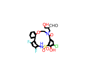 O=CC(CO)CN1CCOc2ccccc2-c2cc(c(F)cc2F)NS(=O)(=O)c2cc(cc(Cl)c2O)C1=O